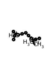 C/C=C\C=C(/C)N(C/C=C\C(=C/C)c1ccc(-c2cccc(-c3ccc(C(/C=C\C)=C/C=C/N(c4ccccc4)c4ccc(C5=CCCC=C5)cc4)cc3)c2)cc1)c1ccc(-c2ccccc2)cc1